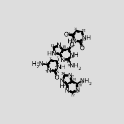 Nc1cc[nH]c(=O)n1.Nc1nc2[nH]cnc2c(=O)[nH]1.Nc1ncnc2[nH]cnc12.O=c1cc[nH]c(=O)[nH]1